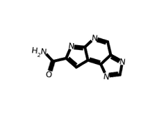 NC(=O)C1=Cc2c3c(cnc2=N1)=NC=N3